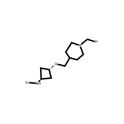 CCN[C@H]1C[C@H](OCC2CCN(CC(C)C)CC2)C1